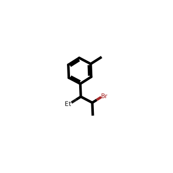 CCC(c1cccc(C)c1)C(C)Br